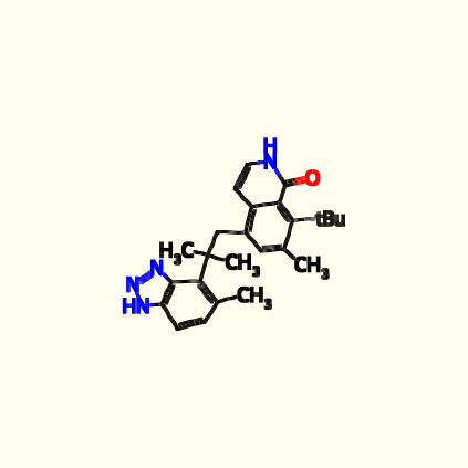 Cc1ccc2[nH]nnc2c1C(C)(C)Cc1cc(C)c(C(C)(C)C)c2c(=O)[nH]ccc12